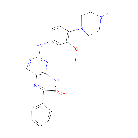 COc1cc(Nc2ncc3nc(-c4ccccc4)c(=O)[nH]c3n2)ccc1N1CCN(C)CC1